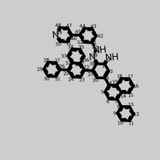 N=C1C=C(c2ccc(-c3ccccc3)c3ccccc23)C=C(c2ccc(-c3ccccc3)c3ccccc23)/C1=N/Nc1cccc(-c2ccncc2)c1